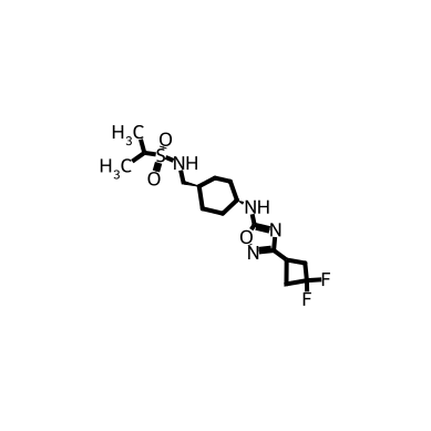 CC(C)S(=O)(=O)NC[C@H]1CC[C@H](Nc2nc(C3CC(F)(F)C3)no2)CC1